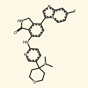 CN(C)C1(c2ccc(Nc3ccc(-c4cnc5cc(F)ccn45)c4c3C(=O)NC4)nc2)CCOCC1